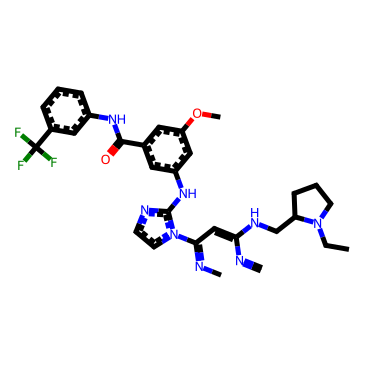 C=N/C(=C\C(=N/C)n1ccnc1Nc1cc(OC)cc(C(=O)Nc2cccc(C(F)(F)F)c2)c1)NCC1CCCN1CC